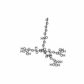 O=C(CCOCCOCCOCCOCCOI)NCCOCCOCCC(=O)NC(COCCC(=O)NCCOCCO[C@H]1C[C@@H](O)[C@@H](O)[C@@H](CO)O1)(COCCC(=O)NCCOCCO[C@H]1C[C@@H](O)[C@@H](O)[C@@H](CO)O1)COCCC(=O)NCCOCCO[C@H]1C[C@@H](O)[C@@H](O)[C@@H](CO)O1